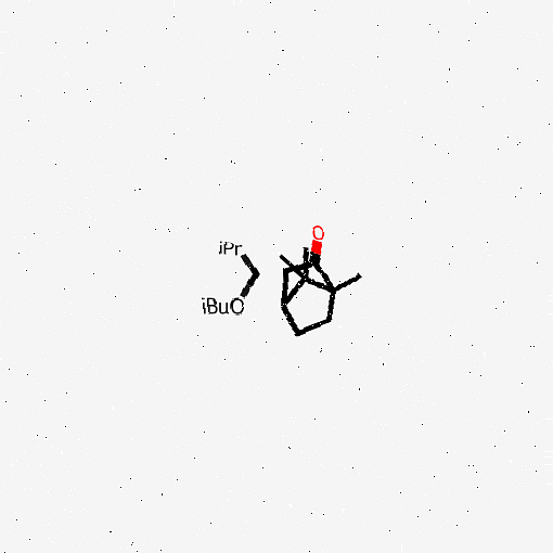 CC(C)COCC(C)C.CC12CCC(CC1=O)C2(C)C